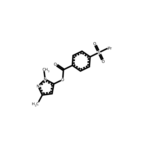 Cc1cc(OC(=O)c2ccc(S(=O)(=O)C(C)C)cc2)n(C)n1